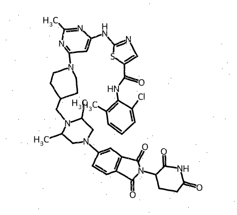 Cc1nc(Nc2ncc(C(=O)Nc3c(C)cccc3Cl)s2)cc(N2CCC(CN3C(C)CN(c4ccc5c(c4)C(=O)N(C4CCC(=O)NC4=O)C5=O)CC3C)CC2)n1